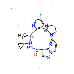 C[C@H]1Cc2ncc(F)cc2[C@H]2CCCN2c2ccn3ncc(c3n2)C(=O)NN1C1CC1